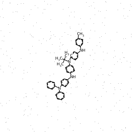 Cc1ccc(Nc2ccc(N(c3ccc(Nc4ccc(N(c5ccccc5)c5ccccc5)cc4)cc3)C(C)(C)C)cc2)cc1